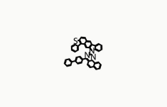 c1ccc(-c2ccc(-c3nc(-n4c5ccccc5c5cc6ccc7sc8ccccc8c7c6cc54)nc4c3ccc3ccccc34)cc2)cc1